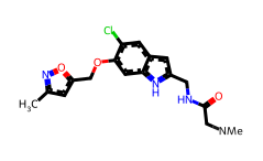 CNCC(=O)NCc1cc2cc(Cl)c(OCc3cc(C)no3)cc2[nH]1